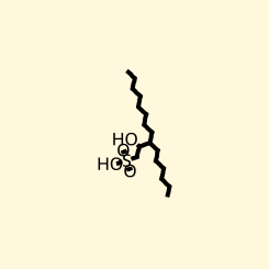 CCCCCCCCC(CCCCCC)C(O)CS(=O)(=O)O